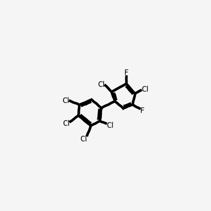 Fc1[c]c(-c2cc(Cl)c(Cl)c(Cl)c2Cl)c(Cl)c(F)c1Cl